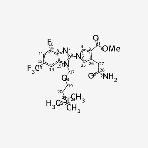 COC(=O)c1cn(-c2nc3c(F)cc(C(F)(F)F)cc3n2COCC[Si](C)(C)C)cc1CC(N)=O